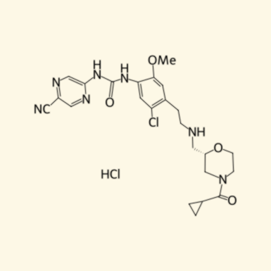 COc1cc(CCNC[C@H]2CN(C(=O)C3CC3)CCO2)c(Cl)cc1NC(=O)Nc1cnc(C#N)cn1.Cl